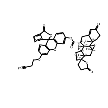 C#CCCOc1ccc2c(c1)Oc1cc(OC(=O)[C@@H]3CC4=CC(=O)CC[C@]4(C)C45O[C@@H]4C[C@@]4(C)[C@@H](CC[C@@]46CCC(=O)O6)[C@H]35)ccc1C21OC(=O)c2ccccc21